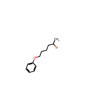 CC(Br)CCCCOc1[c]cccc1